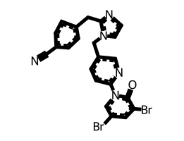 N#Cc1ccc(Cc2nccn2Cc2ccc(-n3cc(Br)cc(Br)c3=O)nc2)cc1